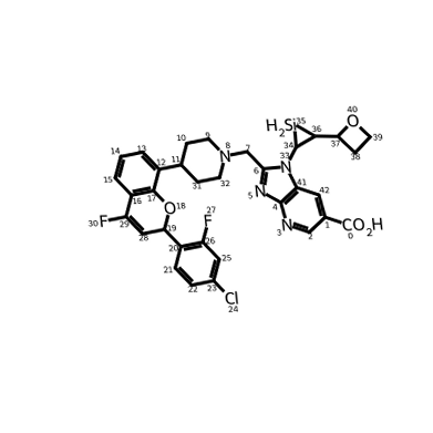 O=C(O)c1cnc2nc(CN3CCC(c4cccc5c4OC(c4ccc(Cl)cc4F)C=C5F)CC3)n(C3[SiH2]C3C3CCO3)c2c1